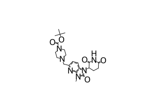 Cn1c(=O)n(C2CCC(=O)NC2=O)c2ccc(CN3CCN(C(=O)OC(C)(C)C)CC3)nc21